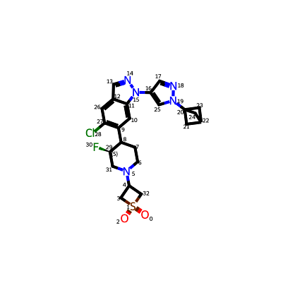 O=S1(=O)CC(N2CCC(c3cc4c(cnn4-c4cnn(C56CC(C5)C6)c4)cc3Cl)[C@H](F)C2)C1